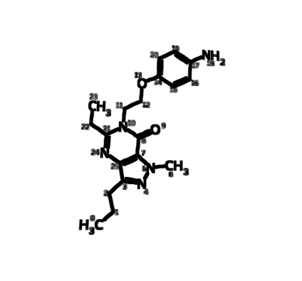 CCCc1nn(C)c2c(=O)n(CCOc3ccc(N)cc3)c(CC)nc12